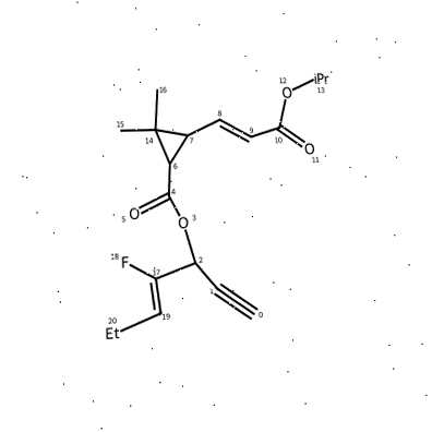 C#CC(OC(=O)C1C(C=CC(=O)OC(C)C)C1(C)C)C(F)=CCC